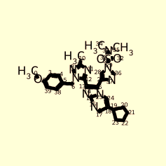 COc1ccc(Cn2nc(C)nc2-c2nc3ncc(C4CCCC4)cn3c2-c2cn(S(=O)(=O)N(C)C)cn2)cc1